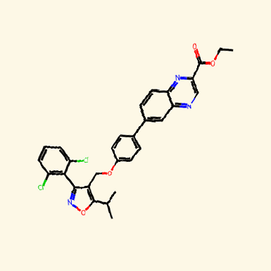 CCOC(=O)c1cnc2cc(-c3ccc(OCc4c(-c5c(Cl)cccc5Cl)noc4C(C)C)cc3)ccc2n1